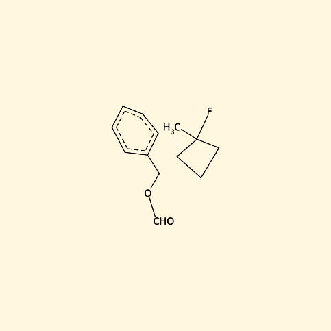 CC1(F)CCC1.O=COCc1ccccc1